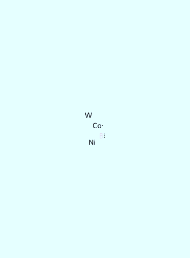 [B].[Co].[Ni].[W]